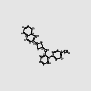 Cc1ccc(-c2nccnc2OC2CN(c3ccc4ccccc4n3)C2)cc1